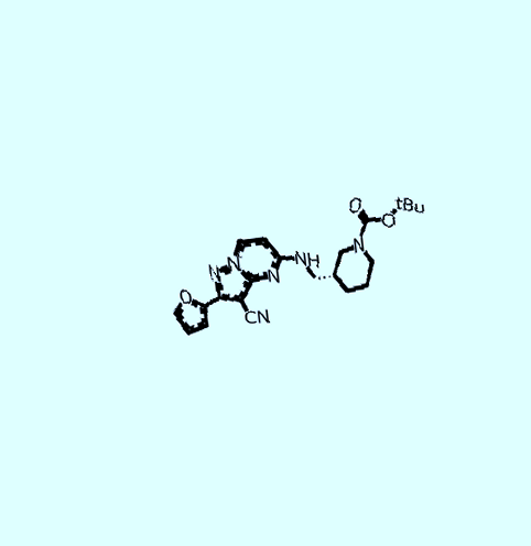 CC(C)(C)OC(=O)N1CCC[C@H](CNc2ccn3nc(-c4ccco4)c(C#N)c3n2)C1